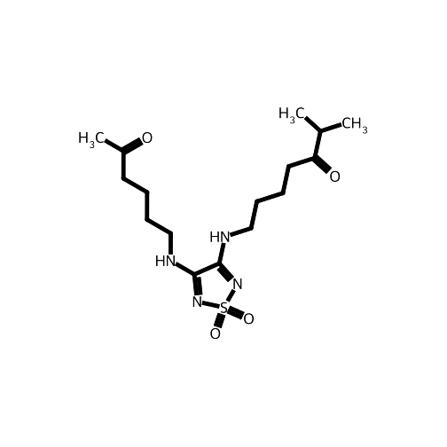 CC(=O)CCCCNC1=NS(=O)(=O)N=C1NCCCCC(=O)C(C)C